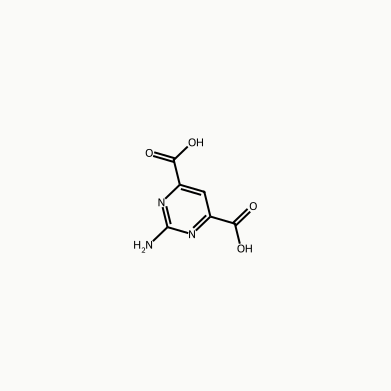 Nc1nc(C(=O)O)cc(C(=O)O)n1